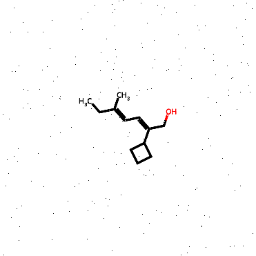 CC/C(C)=C/C=C(/CO)C1CCC1